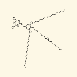 CCCCCCCCCCCCCCCCOc1cc(COc2nc(Cl)nc(Cl)n2)cc(OCCCCCCCCCCCCCCCC)c1CCCCCCCCOCCCCCCCC